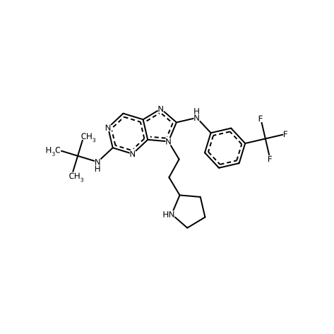 CC(C)(C)Nc1ncc2nc(Nc3cccc(C(F)(F)F)c3)n(CCC3CCCN3)c2n1